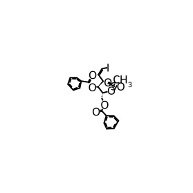 CS(=O)(=O)O[C@H](COC(=O)c1ccccc1)[C@H](C/C=C\I)OC(=O)c1ccccc1